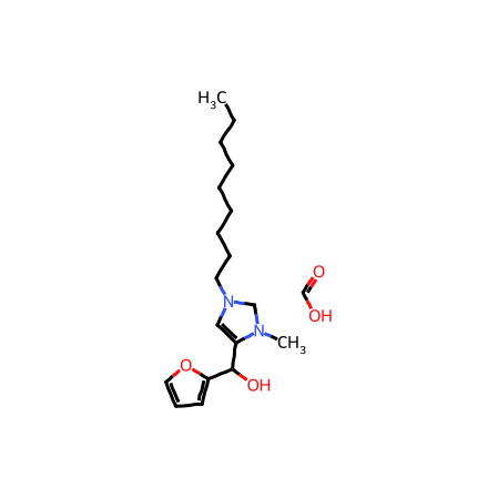 CCCCCCCCCN1C=C(C(O)c2ccco2)N(C)C1.O=CO